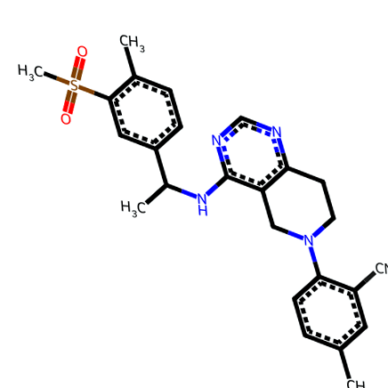 Cc1ccc(N2CCc3ncnc(NC(C)c4ccc(C)c(S(C)(=O)=O)c4)c3C2)c(C#N)c1